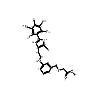 COC(=O)CSCc1cccc(OCCc2nc(-c3c(F)c(F)c(C)c(F)c3F)oc2C)c1